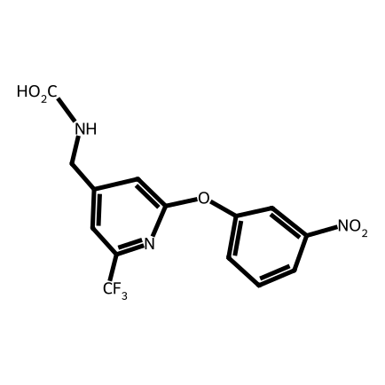 O=C(O)NCc1cc(Oc2cccc([N+](=O)[O-])c2)nc(C(F)(F)F)c1